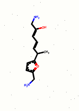 CC(/C=C/C=C(\O)CN)c1ccc(CN)o1